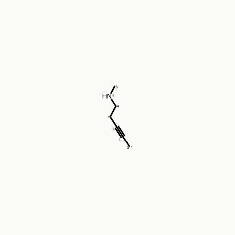 [CH2]C#CCCNC